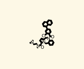 CN(C)CCN(C)C(=O)c1ccc2n1Cc1ccccc1N(C(=O)c1ccc(-c3cccc4ccccc34)cc1Cl)C2